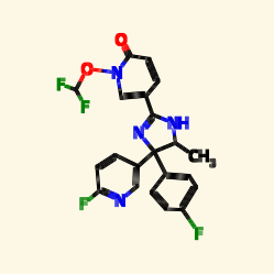 CC1NC(c2ccc(=O)n(OC(F)F)c2)=NC1(c1ccc(F)cc1)c1ccc(F)nc1